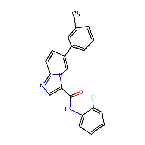 Cc1cccc(-c2ccc3ncc(C(=O)Nc4ccccc4Cl)n3c2)c1